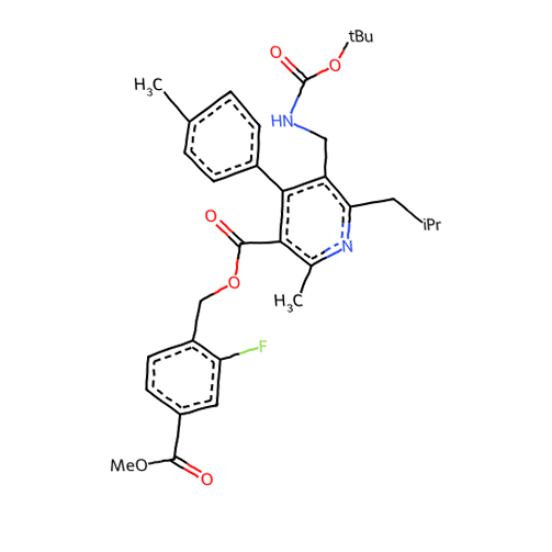 COC(=O)c1ccc(COC(=O)c2c(C)nc(CC(C)C)c(CNC(=O)OC(C)(C)C)c2-c2ccc(C)cc2)c(F)c1